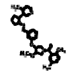 COC1CN(C(=O)c2cc(C)ccc2C)CC1Oc1cccc(CSN2CCCC2c2cnccc2C)c1